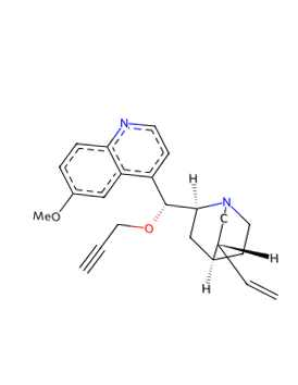 C#CCO[C@H](c1ccnc2ccc(OC)cc12)[C@@H]1C[C@@H]2CCN1C[C@@H]2C=C